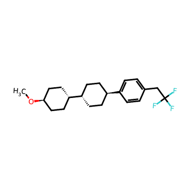 CO[C@H]1CC[C@H]([C@H]2CC[C@H](c3ccc(CC(F)(F)F)cc3)CC2)CC1